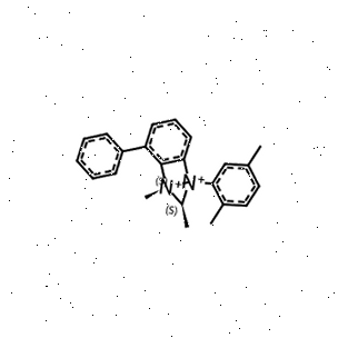 Cc1ccc(C)c([N+]23c4cccc(-c5ccccc5)c4[N@@+]2(C)[C@@H]3C)c1